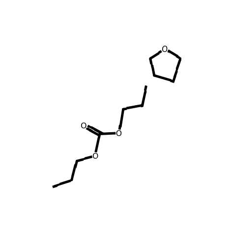 C1CCOC1.CCCOC(=O)OCCC